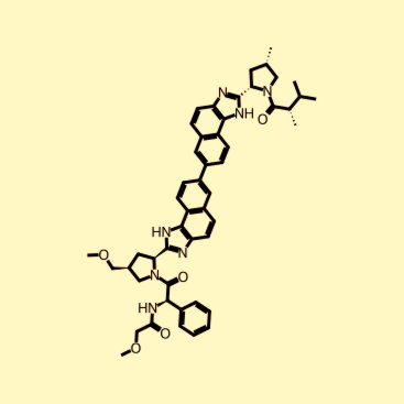 COCC(=O)N[C@@H](C(=O)N1C[C@@H](COC)C[C@H]1c1nc2ccc3cc(-c4ccc5c(ccc6nc([C@@H]7C[C@H](C)CN7C(=O)[C@@H](C)C(C)C)[nH]c65)c4)ccc3c2[nH]1)c1ccccc1